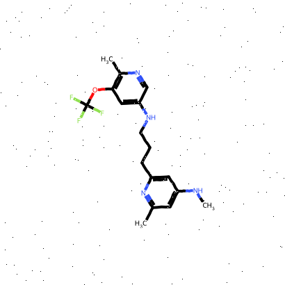 CNc1cc(C)nc(CCCNc2cnc(C)c(OC(F)(F)F)c2)c1